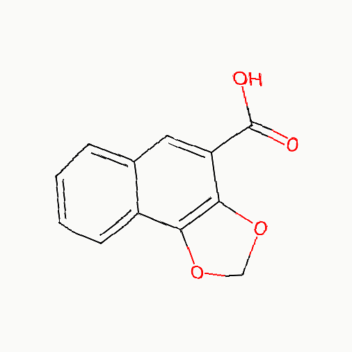 O=C(O)c1cc2ccccc2c2c1OCO2